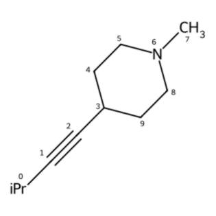 CC(C)C#CC1CCN(C)CC1